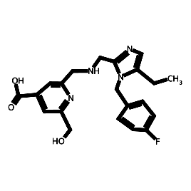 CCc1cnc(CNCc2cc(C(=O)O)cc(CO)n2)n1Cc1ccc(F)cc1